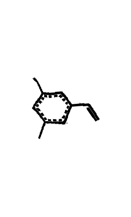 C=Cc1[c]c(C)cc(C)c1